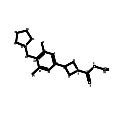 Cc1cc(C2CN(C(=O)OC(C)(C)C)C2)cc(C)c1CN1CCCC1